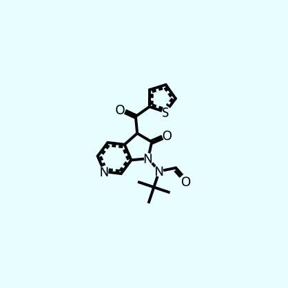 CC(C)(C)N(C=O)N1C(=O)C(C(=O)c2cccs2)c2ccncc21